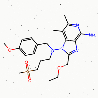 CCOCc1nc2c(N)nc(C)c(C)c2n1N(CCCS(C)(=O)=O)Cc1ccc(OC)cc1